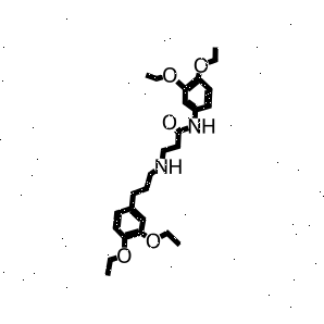 CCOc1ccc(CCCNCCC(=O)Nc2ccc(OCC)c(OCC)c2)cc1OCC